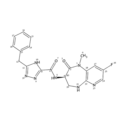 CN1C(=O)[C@H](NC(=O)c2nnc(Cc3ccccc3)[nH]2)CNc2ncc(F)cc21